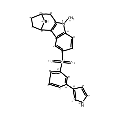 Cn1c2c(c3cc(S(=O)(=O)c4cccc(-c5cc[nH]n5)c4)ccc31)C1CCC(C2)N1